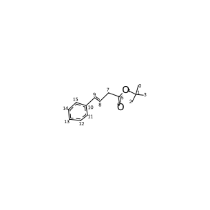 CC(C)(C)OC(=O)CC=Cc1ccccc1